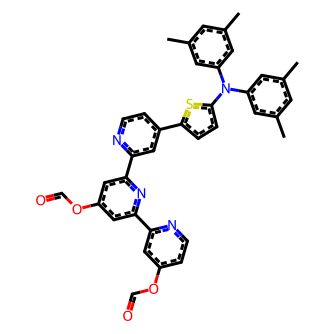 Cc1cc(C)cc(N(c2cc(C)cc(C)c2)c2ccc(-c3ccnc(-c4cc(OC=O)cc(-c5cc(OC=O)ccn5)n4)c3)s2)c1